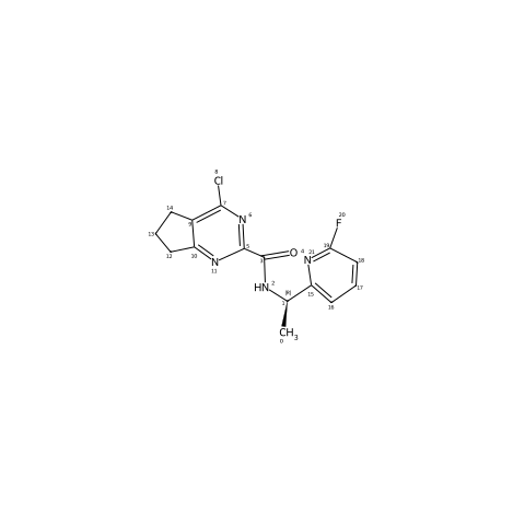 C[C@@H](NC(=O)c1nc(Cl)c2c(n1)CCC2)c1cccc(F)n1